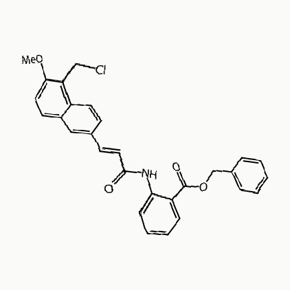 COc1ccc2cc(/C=C/C(=O)Nc3ccccc3C(=O)OCc3ccccc3)ccc2c1CCl